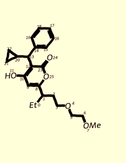 CCC(CCOCCOC)c1cc(O)c(C(c2ccccc2)C2CC2)c(=O)o1